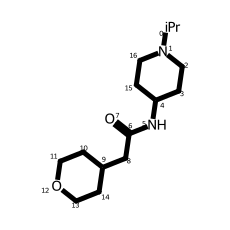 CC(C)N1CCC(NC(=O)CC2CCOCC2)CC1